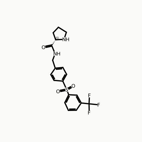 O=C(NCc1ccc(S(=O)(=O)c2cccc(C(F)(F)F)c2)cc1)[C@@H]1CCCN1